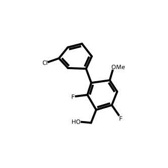 COc1cc(F)c(CO)c(F)c1-c1cccc(Cl)c1